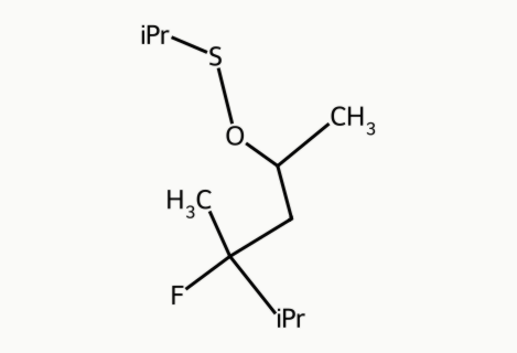 CC(CC(C)(F)C(C)C)OSC(C)C